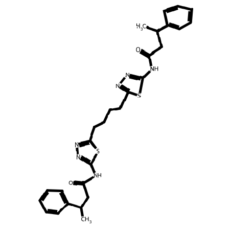 CC(CC(=O)Nc1nnc(CCCCc2nnc(NC(=O)CC(C)c3ccccc3)s2)s1)c1ccccc1